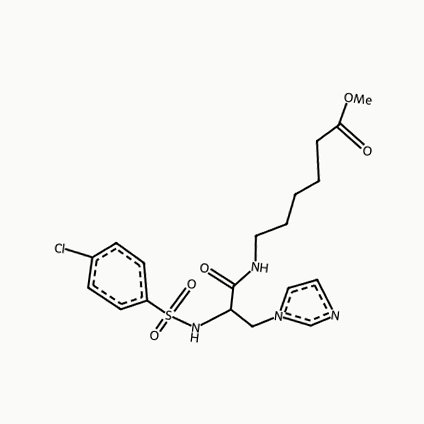 COC(=O)CCCCCNC(=O)C(Cn1ccnc1)NS(=O)(=O)c1ccc(Cl)cc1